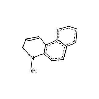 CCCN1CC=Cc2c1ccc1ccccc21